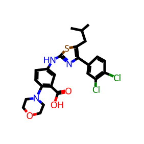 CC(C)Cc1sc(Nc2ccc(N3CCOCC3)c(C(=O)O)c2)nc1-c1ccc(Cl)c(Cl)c1